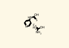 C.NC(O)=S.OC(=S)Nc1ccncc1